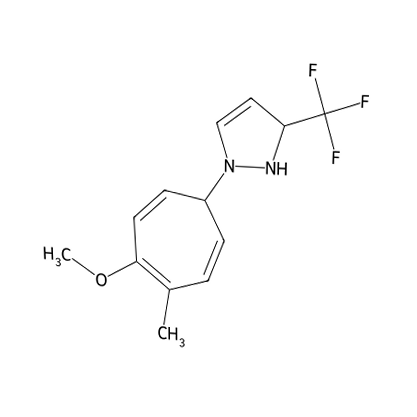 COC1=C(C)C=CC(N2C=CC(C(F)(F)F)N2)C=C1